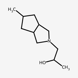 CC(O)CN1CC2CC(C)CC2C1